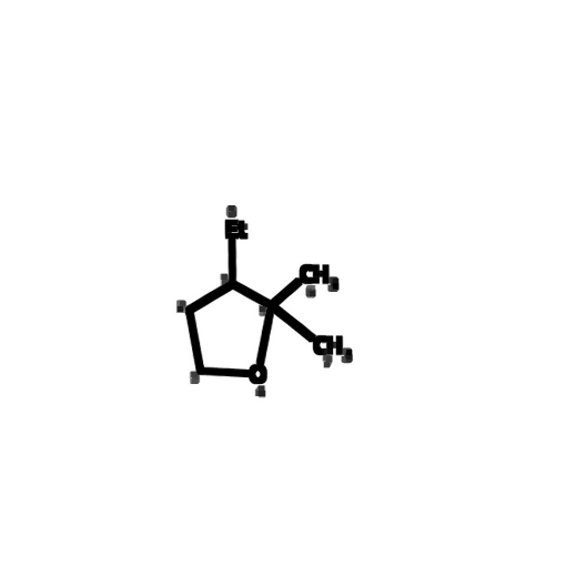 CCC1CCOC1(C)C